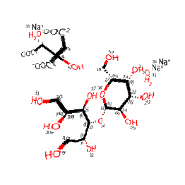 O.O.O=C([O-])CC(O)(CC(=O)[O-])C(=O)[O-].OC[C@@H](O)[C@@H](O[C@@H]1O[C@H](CO)[C@H](O)[C@H](O)[C@H]1O)[C@H](O)[C@@H](O)CO.[Na+].[Na+].[Na+]